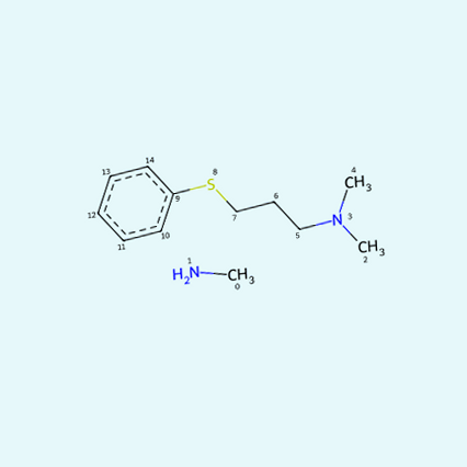 CN.CN(C)CCCSc1ccccc1